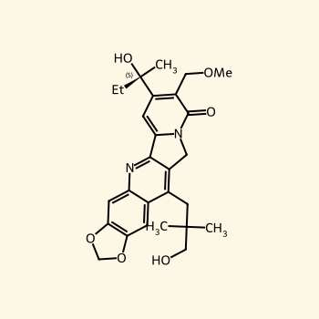 CC[C@](C)(O)c1cc2n(c(=O)c1COC)Cc1c-2nc2cc3c(cc2c1CC(C)(C)CO)OCO3